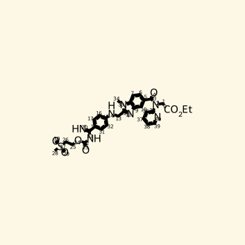 CCOC(=O)CN(C(=O)c1ccc2c(c1)nc(CNc1ccc(C(=N)NC(=O)OCCS(C)(=O)=O)cc1)n2C)c1ccccn1